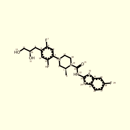 C[C@H]1CN(c2cc(F)c(C[C@@H](O)CO)cc2F)CCN1C(=O)Nc1nc2ccc(F)cc2s1